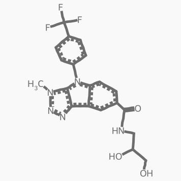 Cn1nnc2c3cc(C(=O)NCC(O)CO)ccc3n(-c3ccc(C(F)(F)F)cc3)c21